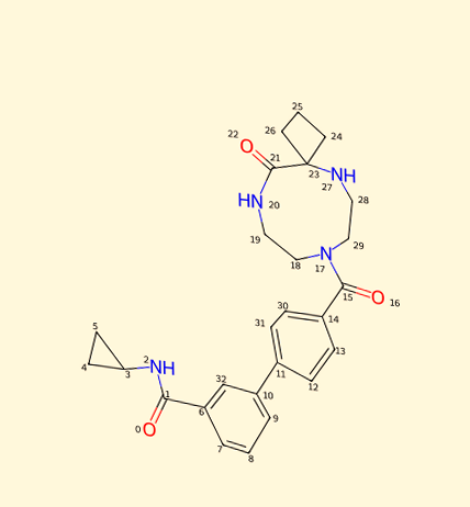 O=C(NC1CC1)c1cccc(-c2ccc(C(=O)N3CCNC(=O)C4(CCC4)NCC3)cc2)c1